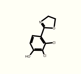 Oc1ccc(C2=NCCO2)c(Cl)c1Cl